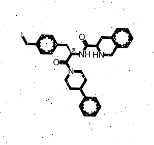 O=C(N[C@H](Cc1ccc(CI)cc1)C(=O)N1CCC(c2ccccc2)CC1)C1Cc2ccccc2CN1